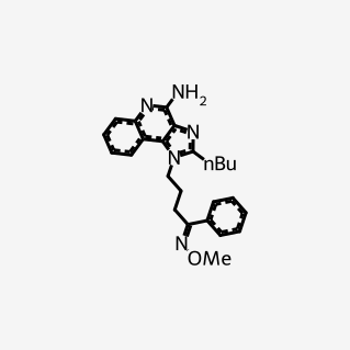 CCCCc1nc2c(N)nc3ccccc3c2n1CCC/C(=N/OC)c1ccccc1